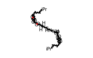 Cc1c(C)c2c(c(C)c1OC(=O)CCC(=O)OCCNCCNCCSSCCNCCNCCOC(=O)CCC(=O)Oc1c(C)c(C)c3c(c1C)CCC(C)(CCCC(C)CCCC(C)CCCC(C)C)O3)CCC(C)(CCCC(C)CCCC(C)CCCC(C)C)O2